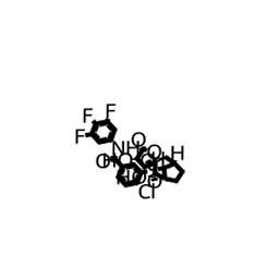 O=C(Nc1cc(F)c(F)c(F)c1)c1ccc(Cl)c(S(=O)(=O)[C@H]2C3CC[C@H]2C[C@]2(C3)OC(=O)[C@@H](O)[C@@H]2O)c1